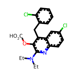 CCN(CC)c1nc2ccc(Cl)cc2c(Cc2ccccc2Cl)c1OC(=O)O